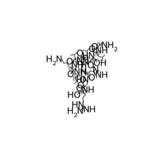 CC[C@H](C)[C@H](NC(=O)[C@H](CCCCN)NC(=O)[C@@H](NC(=O)[C@H](CC(C)C)NC(=O)[C@H](CO)NC(=O)[C@H](CC(C)C)NC(=O)[C@H](C)N)C(C)C)C(=O)N[C@@H](Cc1c[nH]cn1)C(=O)NCC(=O)N[C@@H](CCCNC(=N)N)C(=O)O